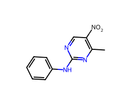 Cc1nc(Nc2ccccc2)ncc1[N+](=O)[O-]